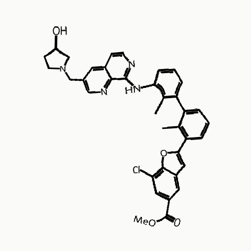 COC(=O)c1cc(Cl)c2oc(-c3cccc(-c4cccc(Nc5nccc6cc(CN7CCC(O)C7)cnc56)c4C)c3C)cc2c1